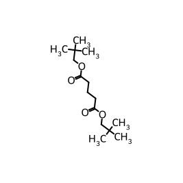 CC(C)(C)COC(=O)CCCC(=O)OCC(C)(C)C